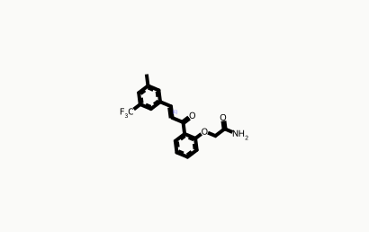 Cc1cc(/C=C/C(=O)c2ccccc2OCC(N)=O)cc(C(F)(F)F)c1